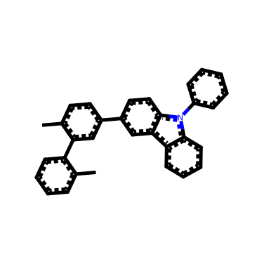 Cc1ccccc1-c1cc(-c2ccc3c(c2)c2ccccc2n3-c2ccccc2)ccc1C